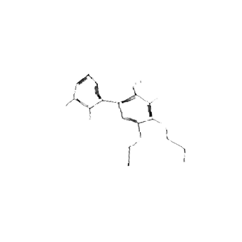 CCCOc1c(OCC)cc(-c2cccc(F)c2F)c(O)c1F